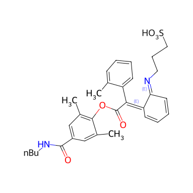 CCCCNC(=O)c1cc(C)c(OC(=O)/C(=C2\C=CC=C\C2=N/CCCS(=O)(=O)O)c2ccccc2C)c(C)c1